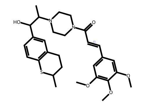 COc1cc(/C=C/C(=O)N2CCN(C(C)C(O)c3ccc4c(c3)CCC(C)S4)CC2)cc(OC)c1OC